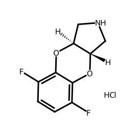 Cl.Fc1ccc(F)c2c1O[C@H]1CNC[C@@H]1O2